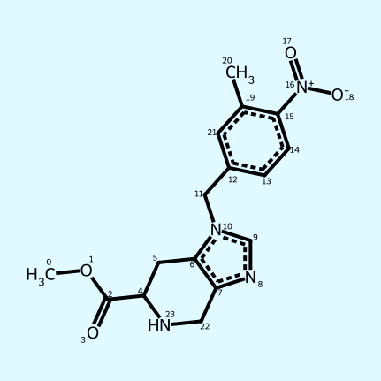 COC(=O)C1Cc2c(ncn2Cc2ccc([N+](=O)[O-])c(C)c2)CN1